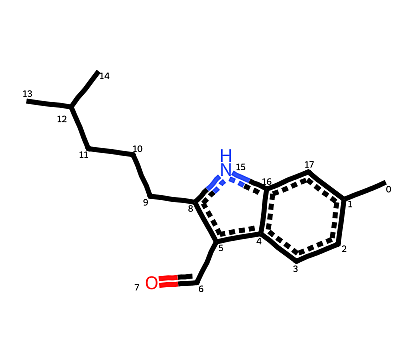 Cc1ccc2c(C=O)c(CCCC(C)C)[nH]c2c1